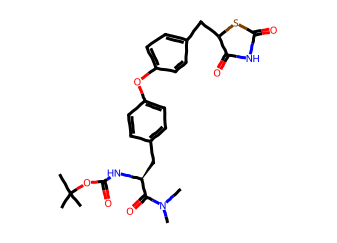 CN(C)C(=O)[C@H](Cc1ccc(Oc2ccc(CC3SC(=O)NC3=O)cc2)cc1)NC(=O)OC(C)(C)C